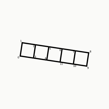 C1CC2C1C1C2C2C3CCC3C12